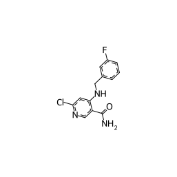 NC(=O)c1cnc(Cl)cc1NCc1cccc(F)c1